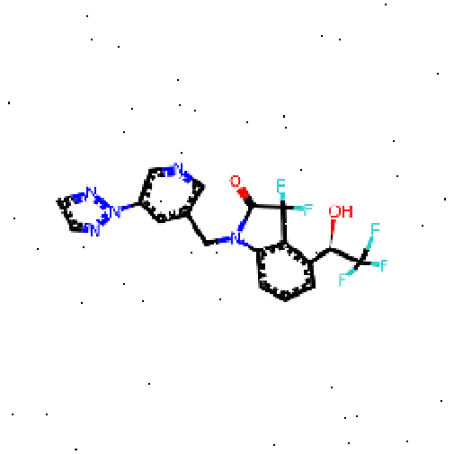 O=C1N(Cc2cncc(-n3nccn3)c2)c2cccc([C@@H](O)C(F)(F)F)c2C1(F)F